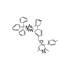 Cc1ccc(-c2c(OCc3ccc(-c4ccccc4-c4nnn(C(c5ccccc5)(c5ccccc5)c5ccccc5)n4)cc3)cc(C)nc2C)cc1